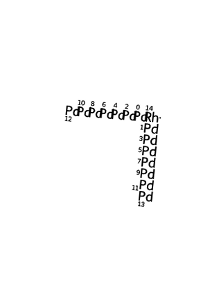 [Pd].[Pd].[Pd].[Pd].[Pd].[Pd].[Pd].[Pd].[Pd].[Pd].[Pd].[Pd].[Pd].[Pd].[Rh]